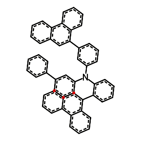 c1ccc(-c2cccc(N(c3cccc(-c4cc5ccccc5c5ccccc45)c3)c3ccccc3-c3cc4ccccc4c4ccccc34)c2)cc1